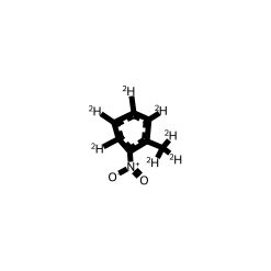 [2H]c1c([2H])c([2H])c(C([2H])([2H])[2H])c([N+](=O)[O-])c1[2H]